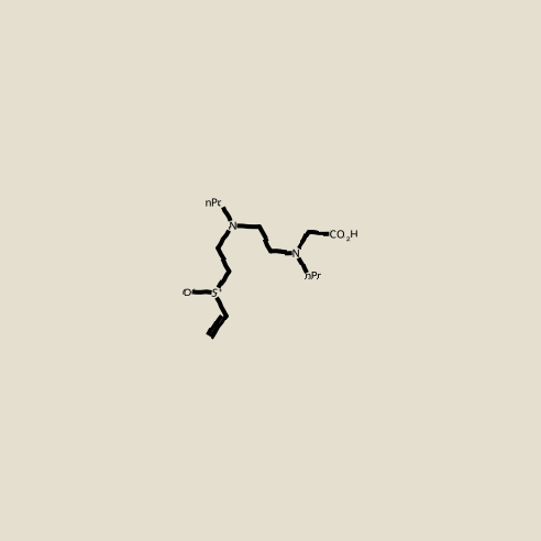 C=C[S+]([O-])CCN(CCC)CCN(CCC)CC(=O)O